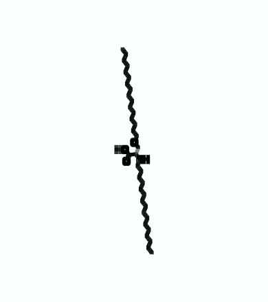 CCCCCCCCCCCCCCCCN[C@@H](COCCCCCCCCCCCCCCCC)C(=O)O